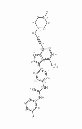 Cc1cccc(NC(=O)Nc2ccc(-c3coc4c(C#CCN5CCN(C)CC5)cnc(N)c34)cc2)c1